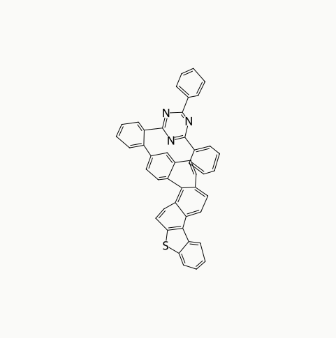 c1ccc(-c2nc(-c3ccccc3)nc(-c3ccccc3-c3ccc4c(ccc5ccc6c(ccc7sc8ccccc8c76)c54)c3)n2)cc1